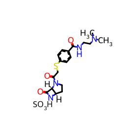 CN(C)CCNC(=O)c1ccc(SCC(=O)N2CC[C@@H]3[C@H]2C(=O)N3S(=O)(=O)O)cc1